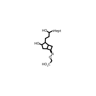 CCCCCCCC(O)CCC1C(O)CC2C(=NOCC(=O)O)CC21